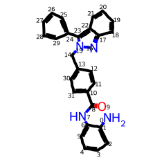 Nc1ccccc1NC(=O)c1ccc(Cn2nc3ccccc3c2-c2ccccc2)cc1